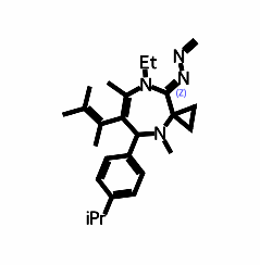 C=N/N=C1\N(CC)C(C)=C(C(C)=C(C)C)C(c2ccc(C(C)C)cc2)N(C)C12CC2